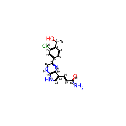 C[C@@H](O)c1ccc(-c2cnc3[nH]cc(/C=C/C(N)=O)c3n2)cc1Cl